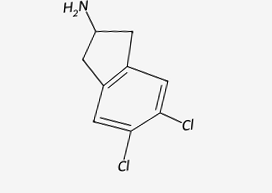 NC1Cc2cc(Cl)c(Cl)cc2C1